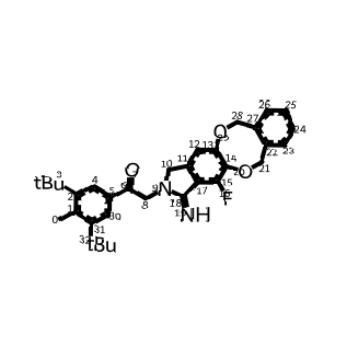 Cc1c(C(C)(C)C)cc(C(=O)CN2Cc3cc4c(c(F)c3C2=N)OCc2ccccc2CO4)cc1C(C)(C)C